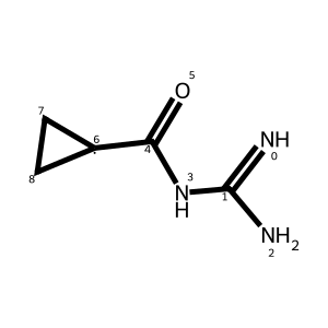 N=C(N)NC(=O)[C]1CC1